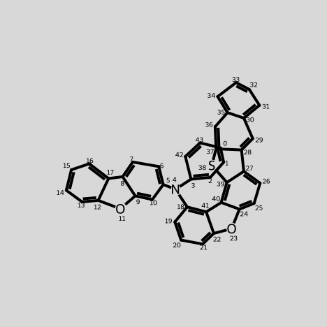 c1ccc(N(c2ccc3c(c2)oc2ccccc23)c2cccc3oc4ccc5c6cc7ccccc7cc6sc5c4c23)cc1